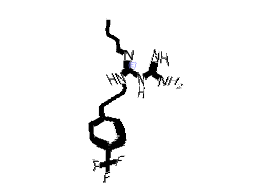 CCCC/N=C(\NCCc1ccc(C(F)(F)F)cc1)NC(=N)N